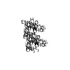 CCc1nc(NNC(=O)[C@H](CC2CCCC2)CN(O)C=O)c(F)c(N2CCN(C)[C@@H](C)C2)n1.CCc1nc(NNC(=O)[C@H](CC2CCCC2)CN(O)C=O)c(F)c(N2CCN(C)[C@@H](C)C2)n1